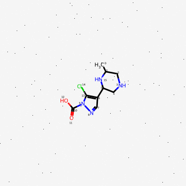 CC1CNCC(c2cnn(C(=O)O)c2Cl)N1